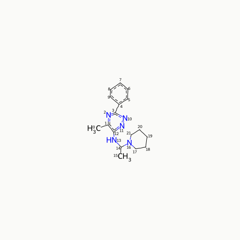 Cc1nc(-c2ccccc2)nnc1NC(C)N1CCCCC1